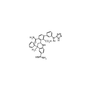 CC(=O)N(c1cccc(-c2ccc(C(N)=O)c(C3CC(C)(c4ccccc4)c4cc(C(=N)N)ccc4N3)c2C(=O)O)c1)c1nnn[nH]1